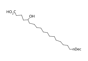 CCCCCCCCCCCCCCCCCCCCCCCC(O)CCCC(=O)O